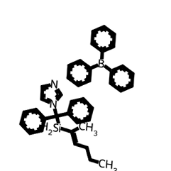 CCCC=C(C)[SiH2]C(c1ccccc1)(c1ccccc1)n1ccnc1.c1ccc(B(c2ccccc2)c2ccccc2)cc1